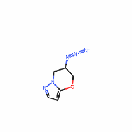 [N-]=[N+]=N[C@H]1COc2ccnn2C1